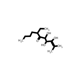 CCCCC(CC)C(=O)C(O)C(O)C(O)=C(C)C